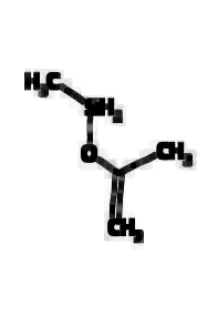 C=C(C)O[SiH2]C